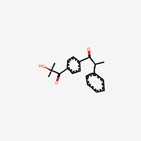 CC(C(=O)c1ccc(C(=O)C(C)(C)O)cc1)c1ccccc1